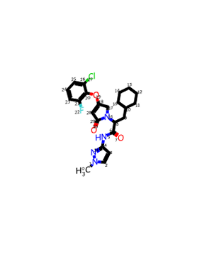 Cn1ccc(NC(=O)C(CC2CCCCC2)N2CC(Oc3c(F)cccc3Cl)=CC2=O)n1